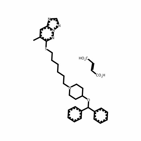 Cc1cc2ncnn2nc1SCCCCCCN1CCC(OC(c2ccccc2)c2ccccc2)CC1.O=C(O)C=CC(=O)O